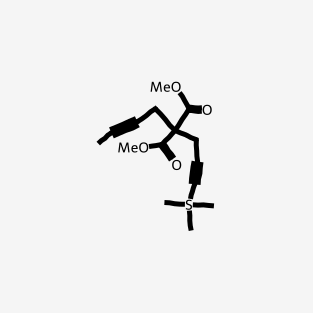 CC#CCC(CC#CS(C)(C)C)(C(=O)OC)C(=O)OC